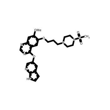 COc1cc2ncnc(Oc3cnc4[nH]ccc4c3)c2cc1OCCCN1CCN(S(C)(=O)=O)CC1